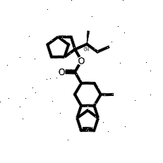 CC[C@H](C)C1(OC(=O)C2CC(C)C3C4C=CC(C4)C3C2)CC2CCC1C2